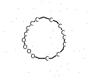 C1CCCCCCCCOOOOCCCCCCC1